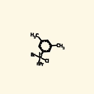 CCC[PH](Cl)(Br)c1cc(C)cc(C)c1